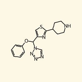 c1ccc(OC(c2csc(C3CCNCC3)n2)n2cnnn2)cc1